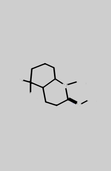 BC1(N)CCCC2C1CC/C(=N/C)N2C